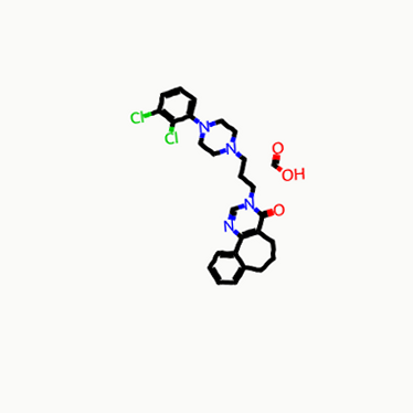 O=CO.O=c1c2c(ncn1CCCN1CCN(c3cccc(Cl)c3Cl)CC1)-c1ccccc1CCC2